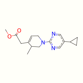 COC(=O)CC1=CCN(c2ncc(C3CC3)cn2)CC1C